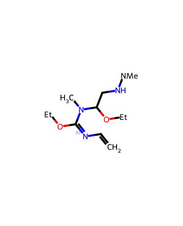 C=C/N=C(/OCC)N(C)C(CNNC)OCC